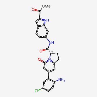 COC(=O)c1cc2ccc(NC(=O)[C@@H]3CCc4cc(-c5cc(Cl)ccc5N)cc(=O)n43)cc2[nH]1